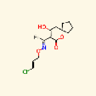 CCC(=NOCC=CCl)C1=C(O)CC2(CCCC2)OC1=O